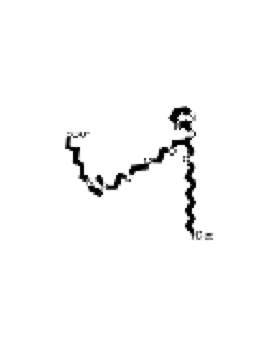 CCCCCCCCCCCCCCCCCCOCC(COCCOCCOCCN1C=C[N+](=CCCCCC(=O)[O-])C1)Oc1ncccn1